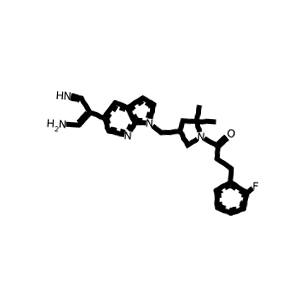 CC1(C)CC(Cn2ccc3cc(/C(C=N)=C/N)cnc32)CN1C(=O)CCc1ccccc1F